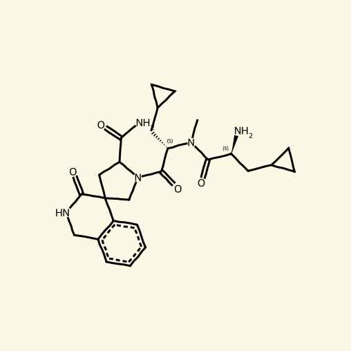 CN(C(=O)[C@@H](N)CC1CC1)[C@@H](CC1CC1)C(=O)N1CC2(CC1C(N)=O)C(=O)NCc1ccccc12